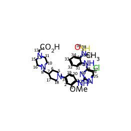 COc1cc(N2CCC(CN3CCN(CC(=O)O)CC3)CC2)ccc1Nc1ncc(Cl)c(Nc2ccccc2N(C)[SH]=O)n1